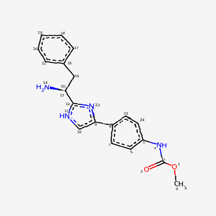 COC(=O)Nc1ccc(-c2c[nH]c([C@@H](N)Cc3ccccc3)n2)cc1